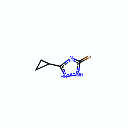 S=c1nc(C2CC2)[nH][nH]1